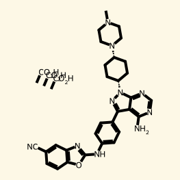 CC(=O)O.CC(=O)O.CC(=O)O.CN1CCN([C@H]2CC[C@@H](n3nc(-c4ccc(Nc5nc6cc(C#N)ccc6o5)cc4)c4c(N)ncnc43)CC2)CC1